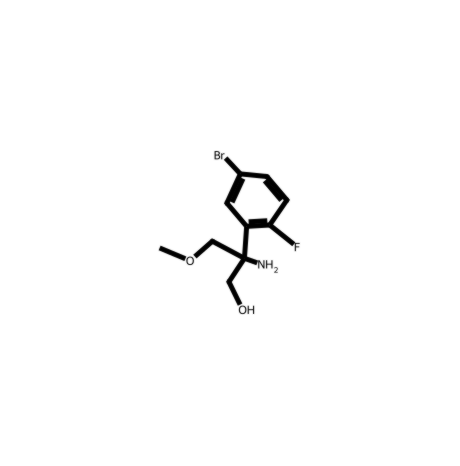 COCC(N)(CO)c1cc(Br)ccc1F